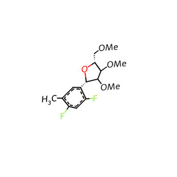 COC[C@H]1O[C@@H](c2cc(C)c(F)cc2F)C(OC)C1OC